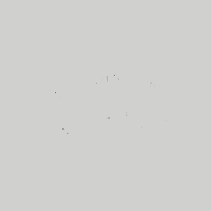 Nc1ncccc1-c1ccnc2[nH]ccc12